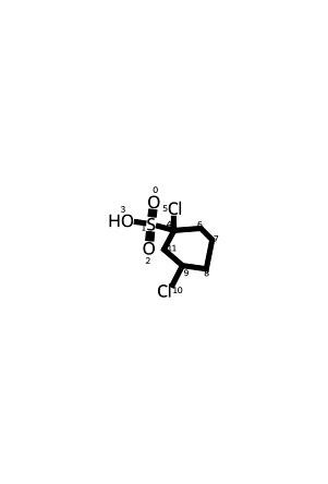 O=S(=O)(O)C1(Cl)CCCC(Cl)C1